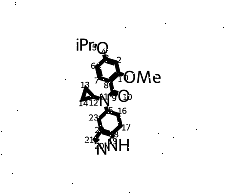 COc1cc(OC(C)C)ccc1C(=O)N(C1CC1)C1CCc2[nH]ncc2C1